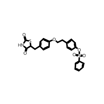 O=C1NC(=O)C(Cc2ccc(OCCc3ccc(OS(=O)(=O)c4ccccc4)cc3)cc2)S1